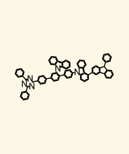 c1ccc(-c2nc(-c3ccccc3)nc(-c3ccc(-c4ccc(-c5ccc(-n6c7ccccc7c7c(-c8ccc9c(c8)-c8ccccc8C9c8ccccc8)cccc76)cc5)c(-n5c6ccccc6c6ccccc65)c4)cc3)n2)cc1